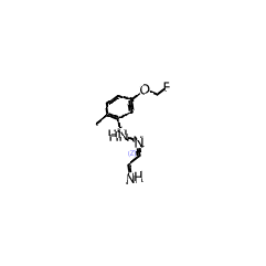 Cc1ccc(OCF)cc1N/N=C\C=N